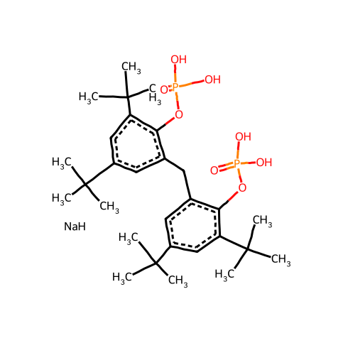 CC(C)(C)c1cc(Cc2cc(C(C)(C)C)cc(C(C)(C)C)c2OP(=O)(O)O)c(OP(=O)(O)O)c(C(C)(C)C)c1.[NaH]